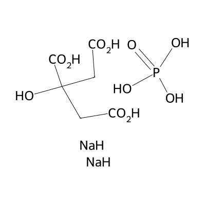 O=C(O)CC(O)(CC(=O)O)C(=O)O.O=P(O)(O)O.[NaH].[NaH]